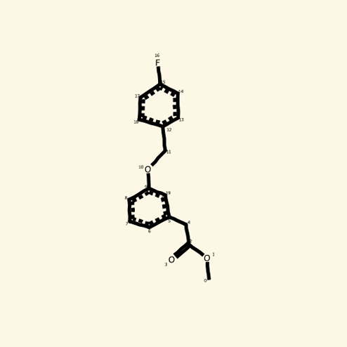 COC(=O)Cc1cccc(OCc2ccc(F)cc2)c1